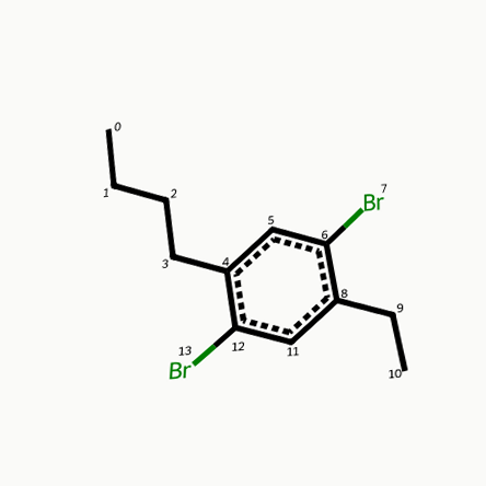 CCCCc1cc(Br)c(CC)cc1Br